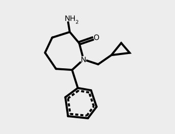 NC1CCCC(c2ccccc2)N(CC2CC2)C1=O